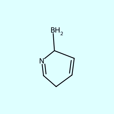 BC1C=CCC=N1